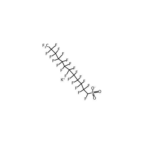 O=S(=O)([O-])C(F)C(F)(F)C(F)(F)C(F)(F)C(F)(F)C(F)(F)C(F)(F)C(F)(F)C(F)(F)C(F)(F)C(F)(F)C(F)(F)F.[K+]